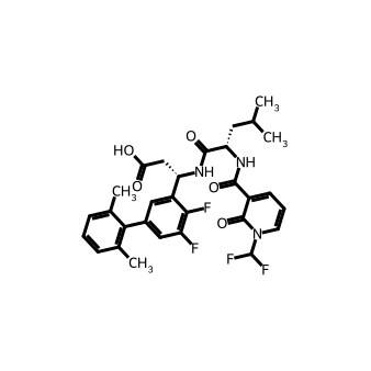 Cc1cccc(C)c1-c1cc(F)c(F)c([C@H](CC(=O)O)NC(=O)[C@H](CC(C)C)NC(=O)c2cccn(C(F)F)c2=O)c1